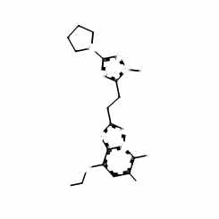 Cc1c(Cl)cc(OCC(F)(F)F)c2nc(CCc3nc(N4CCCC4)nn3C)nn12